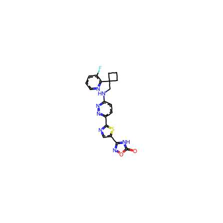 O=c1[nH]c(-c2cnc(-c3ccc(NCC4(c5ncccc5F)CCC4)nn3)s2)no1